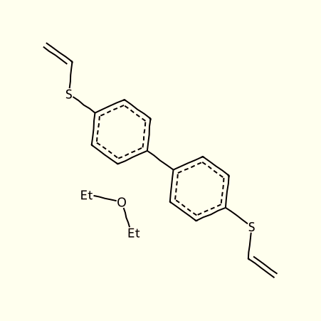 C=CSc1ccc(-c2ccc(SC=C)cc2)cc1.CCOCC